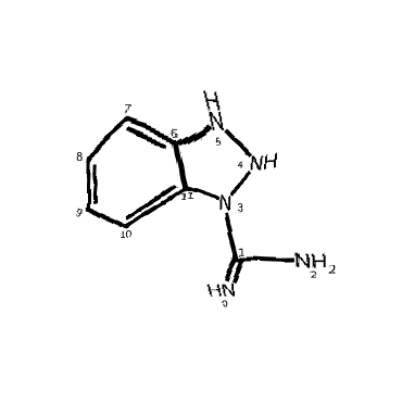 N=C(N)N1NNc2ccccc21